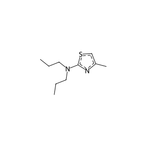 CCCN(CCC)c1nc(C)cs1